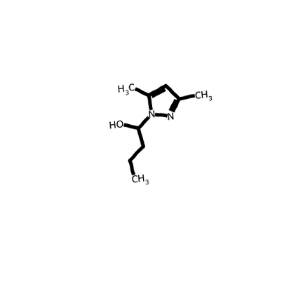 CCCC(O)n1nc(C)cc1C